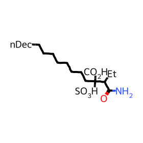 CCCCCCCCCCCCCCCCCCC(C(=O)O)(C(CC)C(N)=O)S(=O)(=O)O